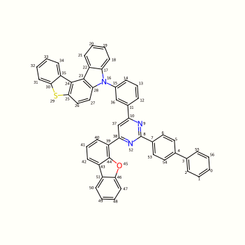 c1ccc(-c2ccc(-c3nc(-c4cccc(-n5c6ccccc6c6c7c(ccc65)sc5ccccc57)c4)cc(-c4cccc5c4oc4ccccc45)n3)cc2)cc1